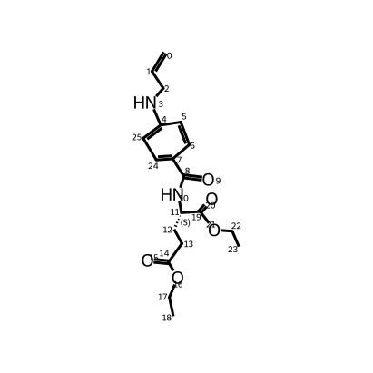 C=CCNc1ccc(C(=O)N[C@@H](CCC(=O)OCC)C(=O)OCC)cc1